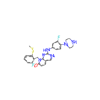 CSc1cccc(F)c1Cn1c(=O)ccc2cnc(Nc3ccc(N4CCNCC4)c(F)c3)nc21